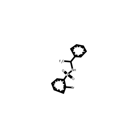 O=S(=O)(NC(c1ccccc1)C(F)(F)F)c1ccccc1Br